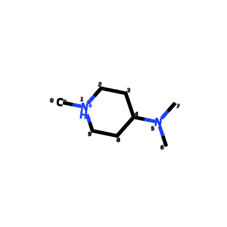 [CH2-][NH+]1CCC(N(C)C)CC1